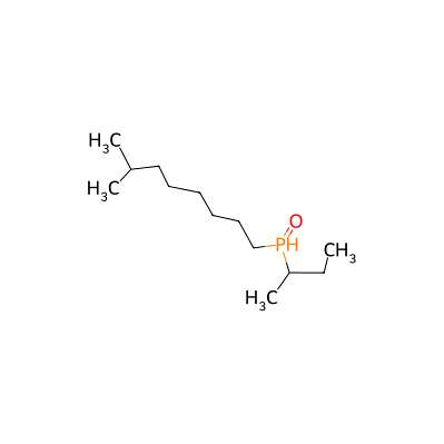 CCC(C)[PH](=O)CCCCCCC(C)C